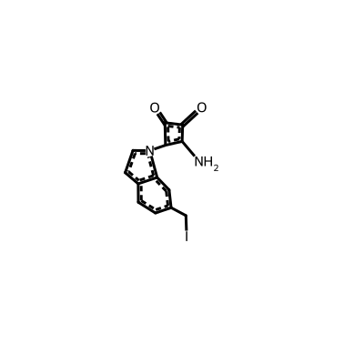 Nc1c(-n2ccc3ccc(CI)cc32)c(=O)c1=O